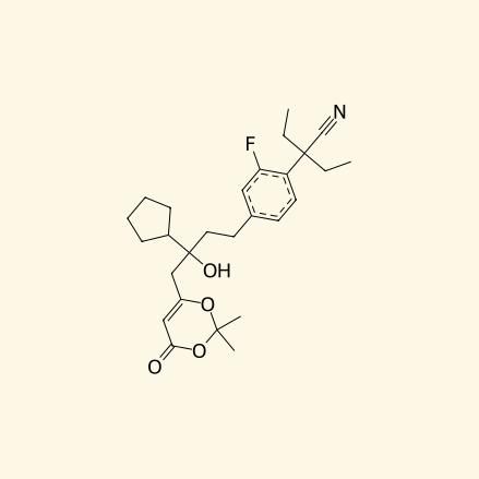 CCC(C#N)(CC)c1ccc(CCC(O)(CC2=CC(=O)OC(C)(C)O2)C2CCCC2)cc1F